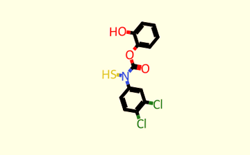 O=C(Oc1ccccc1O)N(S)c1ccc(Cl)c(Cl)c1